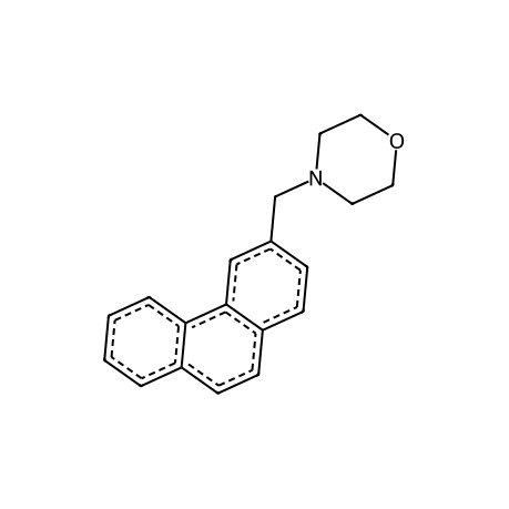 c1ccc2c(c1)ccc1ccc(CN3CCOCC3)cc12